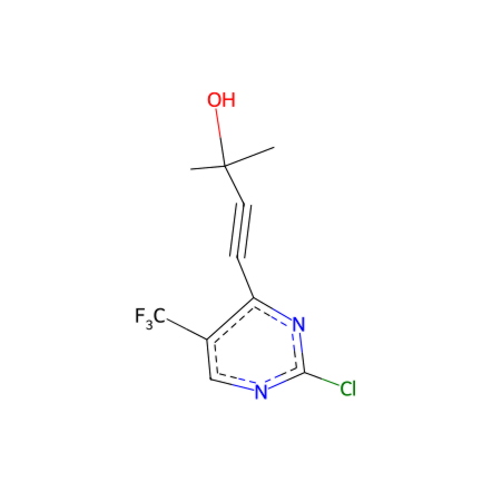 CC(C)(O)C#Cc1nc(Cl)ncc1C(F)(F)F